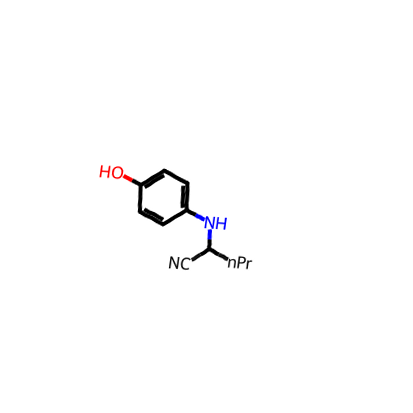 CCCC(C#N)Nc1ccc(O)cc1